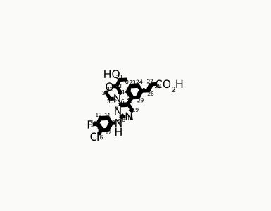 CC(O)C1CN(c2nc(Nc3ccc(F)c(Cl)c3)ncc2-c2cccc(/C=C/C(=O)O)c2)CCO1